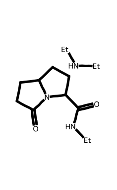 CCNC(=O)C1CCC2CCC(=O)N21.CCNCC